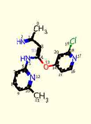 CC(=N)/C=C(\Nc1cccc(C)n1)Oc1ccnc(Cl)c1